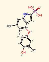 Cc1cc2[nH]c(P(=O)(O)O)cc2c(Oc2ccc(O)c(C(C)C)c2)c1C